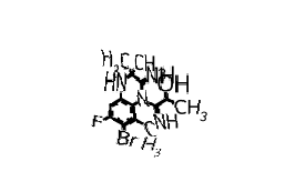 Cc1c(Br)c(F)cc2c1N(C(=N)C(C)O)C(=N)C(C)(C)N2